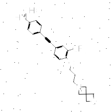 O=CNc1ccc(C#Cc2ccc(OCCCN3CC4(COC4)C3)c(C(F)(F)F)c2)cc1